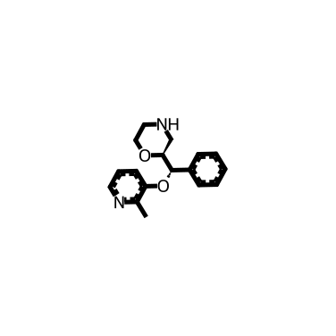 Cc1ncccc1O[C@@H](c1ccccc1)[C@@H]1CNCCO1